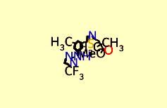 COC(=O)C(C)(C)Cc1ncc(-c2cc(C)cc(Nc3nccc(C(F)(F)F)n3)c2)s1